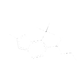 CCOC(=O)c1cnn2cc(C)cc2c1C(C)(C)C